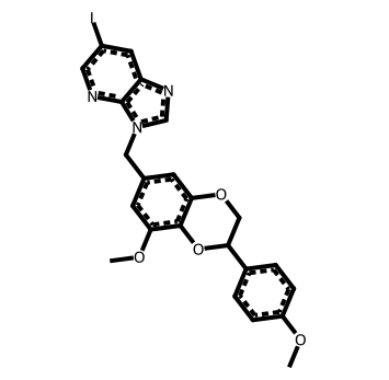 COc1ccc(C2COc3cc(Cn4cnc5cc(I)cnc54)cc(OC)c3O2)cc1